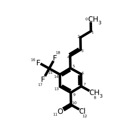 CCCC=Cc1cc(C)c(C(=O)Cl)cc1C(F)(F)F